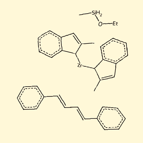 C(C=Cc1ccccc1)=Cc1ccccc1.CC1=Cc2ccccc2[CH]1[Zr][CH]1C(C)=Cc2ccccc21.CCO[SiH2]C